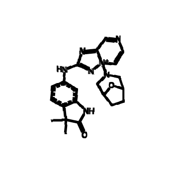 CC1(C)C(=O)Nc2cc(NC3=N[N+]4(N5CC6CCC(C5)O6)C=CN=CC4=N3)ccc21